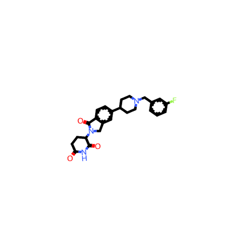 O=C1CCC(N2Cc3cc(C4CCN(Cc5cccc(F)c5)CC4)ccc3C2=O)C(=O)N1